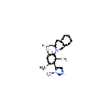 Cc1cc(C)c(-[n+]2cc3ccccc3cc2C)c(C)c1-c1cncn1C